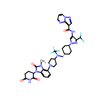 Cn1c(=O)n(C2CCC(=O)NC2=O)c2cccc(N3CCC(N(C[C@H]4CC[C@H](n5cc(NC(=O)c6cnn7cccnc67)c(C(F)F)n5)CC4)C(F)(F)F)CC3)c21